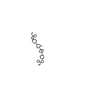 C=CC(=O)Oc1ccc(-c2ccc(-c3ccc(-c4ccc(OC(=O)C=C)cc4)o3)c(C)c2)cc1